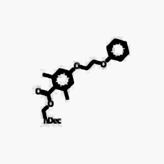 CCCCCCCCCCCOC(=O)c1c(C)cc(OCCOc2ccccc2)cc1C